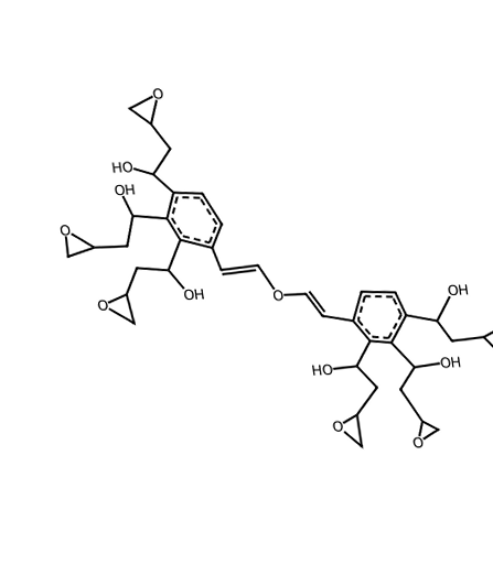 OC(CC1CO1)c1ccc(C=COC=Cc2ccc(C(O)CC3CO3)c(C(O)CC3CO3)c2C(O)CC2CO2)c(C(O)CC2CO2)c1C(O)CC1CO1